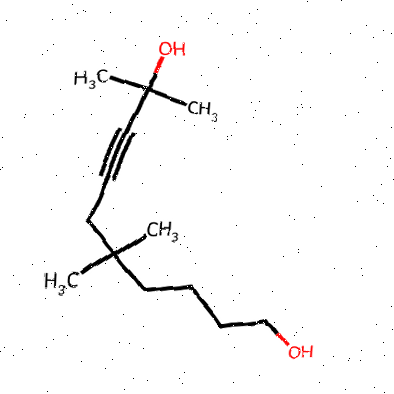 CC(C)(O)C#CCC(C)(C)CCCCO